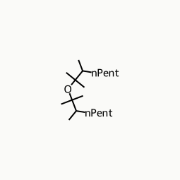 CCCCCC(C)C(C)(C)OC(C)(C)C(C)CCCCC